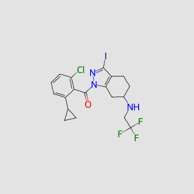 O=C(c1c(Cl)cccc1C1CC1)n1nc(I)c2c1CC(NCC(F)(F)F)CC2